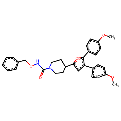 COc1ccc(-c2cc(C3CCN(C(=O)NOCc4ccccc4)CC3)oc2-c2ccc(OC)cc2)cc1